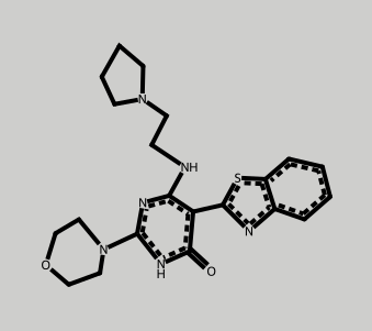 O=c1[nH]c(N2CCOCC2)nc(NCCN2CCCC2)c1-c1nc2ccccc2s1